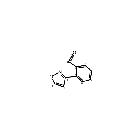 O=[C]c1ccccc1-c1ccon1